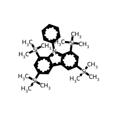 C[Si](C)(C)c1cc([Si](C)(C)C)c2c(c1)c1cc([Si](C)(C)C)cc([Si](C)(C)C)c1n2-c1ccccc1